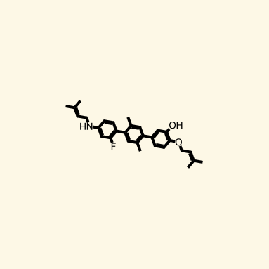 CC(C)=CCNc1ccc(-c2cc(C)c(-c3ccc(OCC=C(C)C)c(O)c3)cc2C)c(F)c1